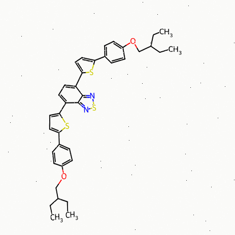 CCC(CC)COc1ccc(-c2ccc(-c3ccc(-c4ccc(-c5ccc(OCC(CC)CC)cc5)s4)c4nsnc34)s2)cc1